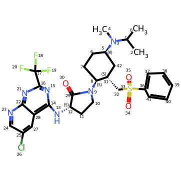 CC(C)N(C)[C@@H]1CC[C@H](N2CC[C@H](Nc3nc(C(F)(F)F)nc4ncc(Cl)cc34)C2=O)[C@@H](CS(=O)(=O)c2ccccc2)C1